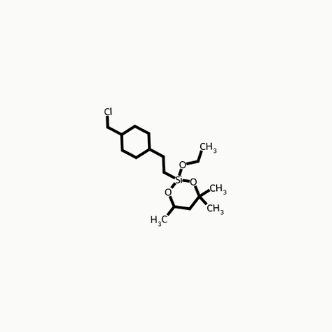 CCO[Si]1(CCC2CCC(CCl)CC2)OC(C)CC(C)(C)O1